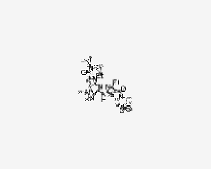 CCc1nc(Nc2nc3c(cc(C(=O)N(C4CC4)C4CC4)n3CC)c3c2ncn3C)sc1C(=O)N1CCS(=O)(=O)CC1